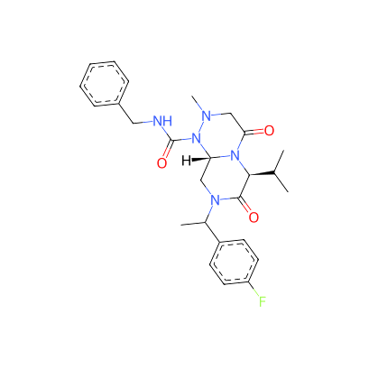 CC(C)[C@H]1C(=O)N(C(C)c2ccc(F)cc2)C[C@H]2N1C(=O)CN(C)N2C(=O)NCc1ccccc1